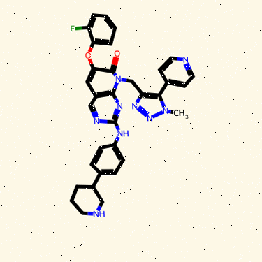 Cn1nnc(Cn2c(=O)c(Oc3ccccc3F)cc3cnc(Nc4ccc(C5CCCNC5)cc4)nc32)c1-c1ccncc1